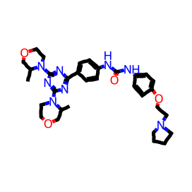 CC1COCCN1c1nc(-c2ccc(NC(=O)Nc3ccc(OCCN4CCCC4)cc3)cc2)nc(N2CCOCC2C)n1